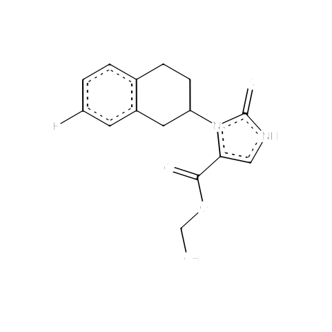 CCOC(=O)c1c[nH]c(=S)n1C1CCc2ccc(F)cc2C1